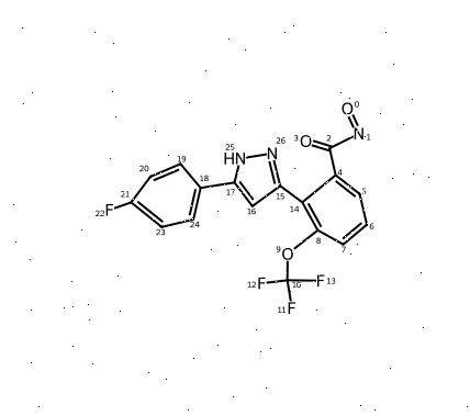 O=NC(=O)c1cccc(OC(F)(F)F)c1-c1cc(-c2ccc(F)cc2)[nH]n1